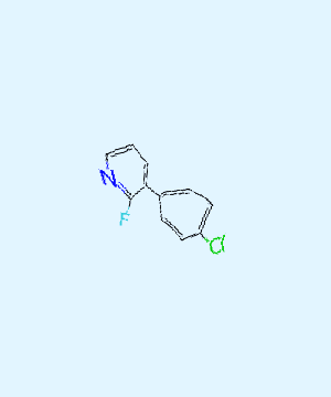 Fc1ncccc1-c1ccc(Cl)cc1